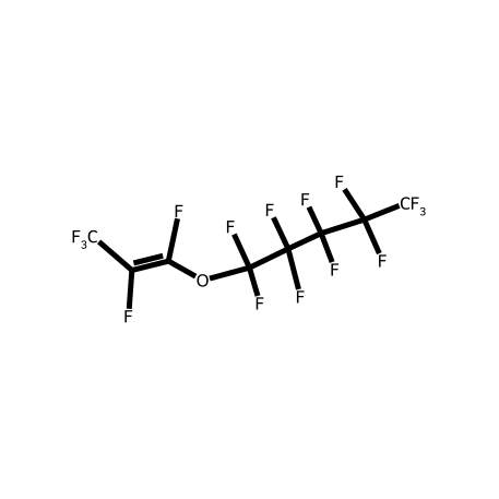 FC(OC(F)(F)C(F)(F)C(F)(F)C(F)(F)C(F)(F)F)=C(F)C(F)(F)F